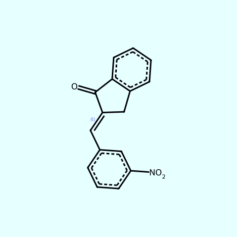 O=C1/C(=C/c2cccc([N+](=O)[O-])c2)Cc2ccccc21